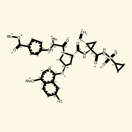 C=C[C@@H]1C[C@]1(NC(=O)[C@@H]1C[C@@H](Oc2ncc(OC)c3ccc(Cl)cc23)CN1C(=O)[C@@H](Nc1ccc(C(=O)OC(C)(C)C)cc1)C(C)(C)C)C(=O)NS(=O)(=O)C1CC1